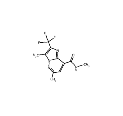 CNC(=O)c1cc(C)nn2c(C)c(C(F)(F)F)nc12